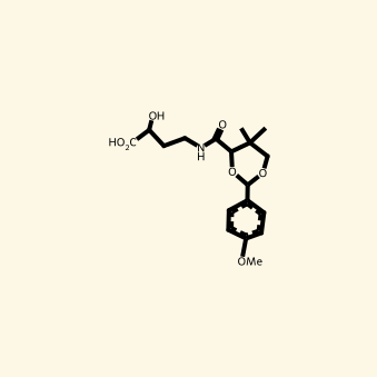 COc1ccc(C2OCC(C)(C)C(C(=O)NCCC(O)C(=O)O)O2)cc1